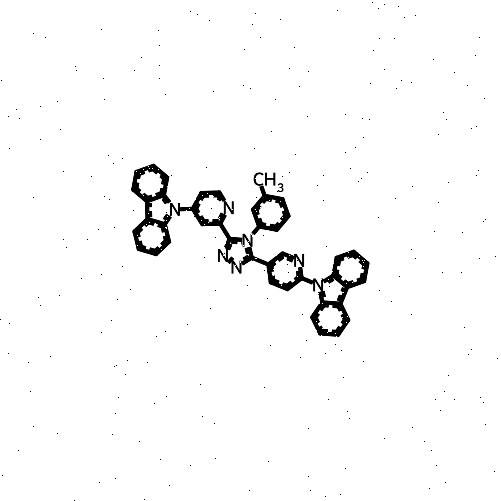 Cc1cccc(-n2c(-c3ccc(-n4c5ccccc5c5ccccc54)nc3)nnc2-c2cc(-n3c4ccccc4c4ccccc43)ccn2)c1